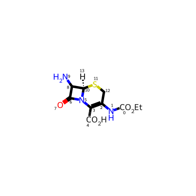 CCOC(=O)NC1=C(C(=O)O)N2C(=O)C(N)[C@H]2SC1